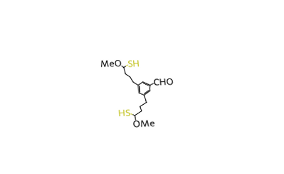 COC(S)CCCc1cc(C=O)cc(CCCC(S)OC)c1